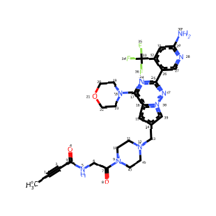 CC#CC(=O)NCC(=O)N1CCN(Cc2cc3c(N4CCOCC4)nc(-c4cnc(N)cc4C(F)(F)F)nn3c2)CC1